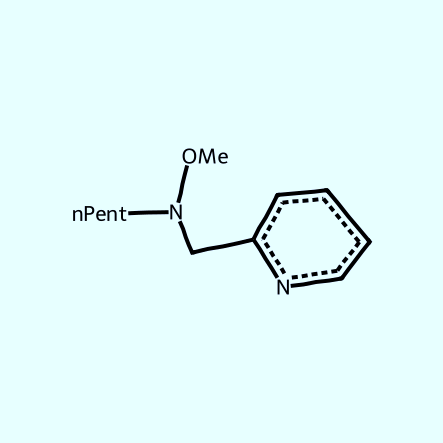 CCCCCN(Cc1ccccn1)OC